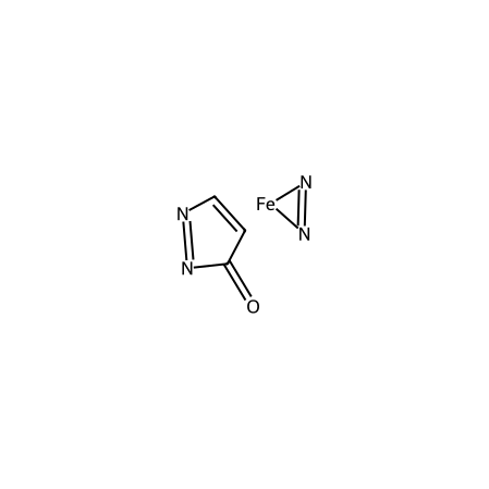 O=C1C=CN=N1.[N]1=[N][Fe]1